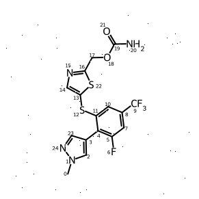 Cn1cc(-c2c(F)cc(C(F)(F)F)cc2Sc2cnc(COC(N)=O)s2)cn1